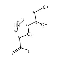 C=C(C)COCC(O)CCl.CNC